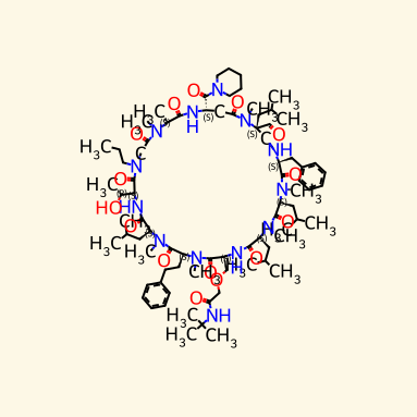 CCCN1CC(=O)N(C)[C@@H](C)C(=O)N[C@H](C(=O)N2CCCCC2)CC(=O)N(C)[C@@](C=O)(CC(C)C)CN[C@@H](Cc2ccccc2)C(=O)N(C)[C@@H](CC(C)C)C(=O)N(C)[C@@H](CC(C)C)C(=O)N[C@@H](COCC(=O)NC(C)(C)C)C(=O)N(C)[C@@H](CCc2ccccc2)C(=O)N(C)[C@@H](CC(C)C)C(=O)N[C@@H]([C@@H](C)O)C1=O